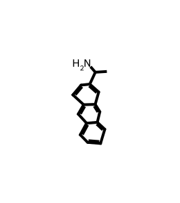 CC(N)c1ccc2cc3ccccc3cc2c1